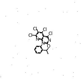 CC(C)c1ccccc1-n1c(=O)nc(Cl)c2c(Cl)c(Cl)c(Cl)nc21